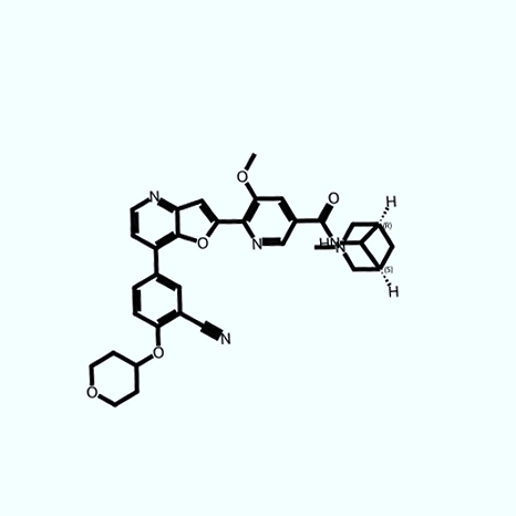 COc1cc(C(=O)NC2[C@@H]3C[C@H]2CN(C)C3)cnc1-c1cc2nccc(-c3ccc(OC4CCOCC4)c(C#N)c3)c2o1